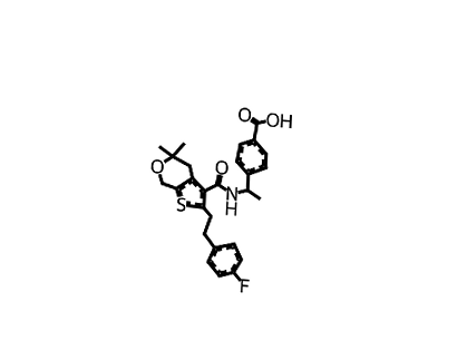 CC(NC(=O)c1c(CCc2ccc(F)cc2)sc2c1CC(C)(C)OC2)c1ccc(C(=O)O)cc1